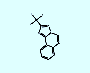 FC(F)(F)c1nc2c3ccccc3ncn2n1